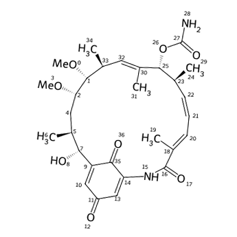 CO[C@H]1[C@@H](OC)C[C@H](C)[C@@H](O)C2=CC(=O)C=C(NC(=O)/C(C)=C/C=C\[C@H](C)[C@@H](OC(N)=O)/C(C)=C/[C@@H]1C)C2=O